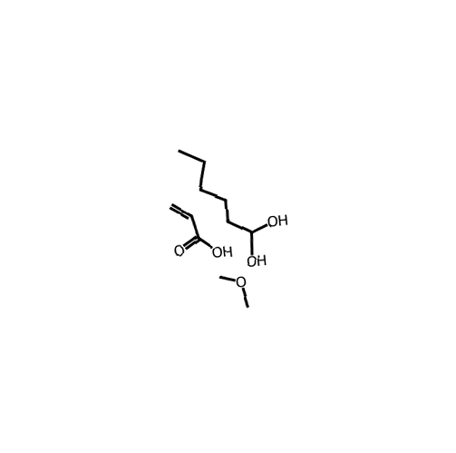 C=CC(=O)O.CCCCCC(O)O.COC